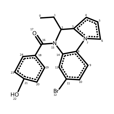 CCC1c2cccn2-c2ccc(Br)cc2N1C(=O)c1ccc(O)cc1